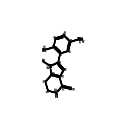 CCc1cnc(N)cc1-c1cc2c(n1C)CCNC2=O